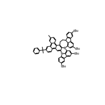 Cc1ccc2c(c1)c1cc(C(C)(C)c3ccccc3)ccc1c1cc3c4c(c21)CCC1c2ccc(C(C)(C)C)cc2-c2cc(C(C)(C)C)cc(c21)B4c1cc(C(C)(C)C)cc2c4cc(C(C)(C)C)ccc4n-3c12